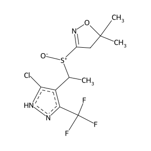 CC(c1c(C(F)(F)F)n[nH]c1Cl)[S+]([O-])C1=NOC(C)(C)C1